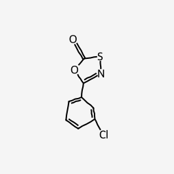 O=c1oc(-c2cccc(Cl)c2)ns1